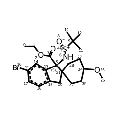 CCOC(=O)[C@@]1(N[S@+]([O-])C(C)(C)C)c2cc(Br)ccc2CC12CCC(OC)CC2